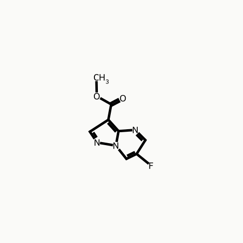 COC(=O)c1cnn2cc(F)cnc12